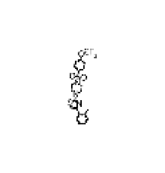 Cc1ccccc1-c1csc(N2CCN(S(=O)(=O)c3ccc(OC(F)(F)F)cc3)CC2)n1